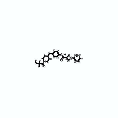 CCC(C)(C)C(=O)N1CCC(Cc2ccc(NC(=O)C3CN(c4cccnn4)C3)cc2)CC1